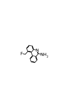 Nc1nc2cccc(CF)c2c2ccccc12